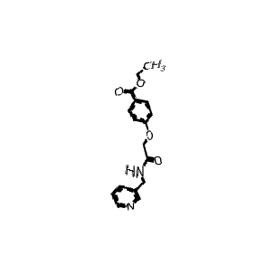 CCOC(=O)c1ccc(OCC(=O)NCc2cccnc2)cc1